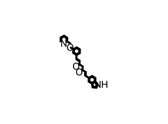 O=C(/C=C/c1cccc(OCc2ccccn2)c1)CC(=O)/C=C/c1ccc2[nH]ccc2c1